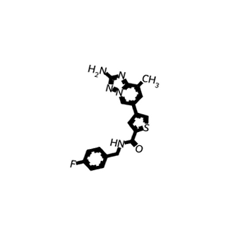 Cc1cc(-c2csc(C(=O)NCc3ccc(F)cc3)c2)cn2nc(N)nc12